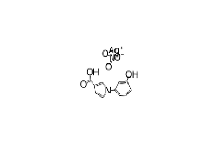 O=C(O)c1ccn(-c2cccc(O)c2)c1.O=[N+]([O-])[O-].[Ag+]